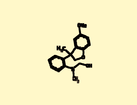 COc1ccc2c(c1)C(C)(c1ccccc1N(C)CO)CO2